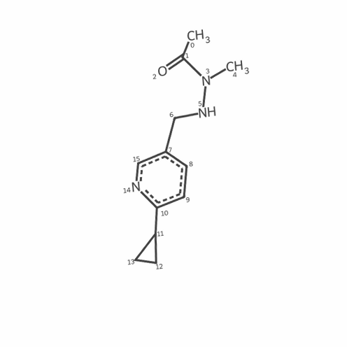 CC(=O)N(C)NCc1ccc(C2CC2)nc1